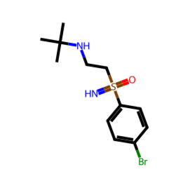 CC(C)(C)NCCS(=N)(=O)c1ccc(Br)cc1